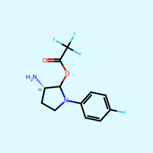 N[C@H]1CCN(c2ccc(F)cc2)C1OC(=O)C(F)(F)F